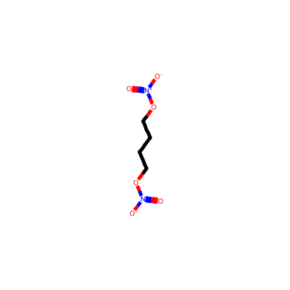 O=[N+]([O-])OCCCCO[N+](=O)[O-]